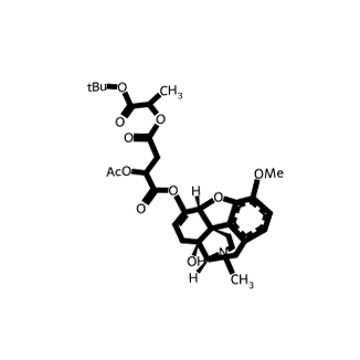 COc1ccc2c3c1O[C@H]1C(OC(=O)C(CC(=O)OC(C)C(=O)OC(C)(C)C)OC(C)=O)=CC[C@@]4(O)[C@@H](C2)N(C)CC[C@]314